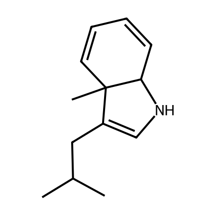 CC(C)CC1=CNC2C=CC=CC12C